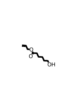 C=CCOC(=O)CCCCCO